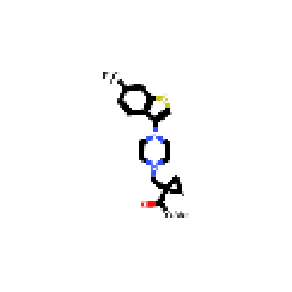 COC(=O)C1(CN2CCN(c3csc4cc(C(F)(F)F)ccc34)CC2)CC1